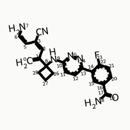 C=C(/C=C(C#N)\C=C/N)C1(Nc2ccc(-c3cc(C(N)=O)ccc3F)nn2)CCC1